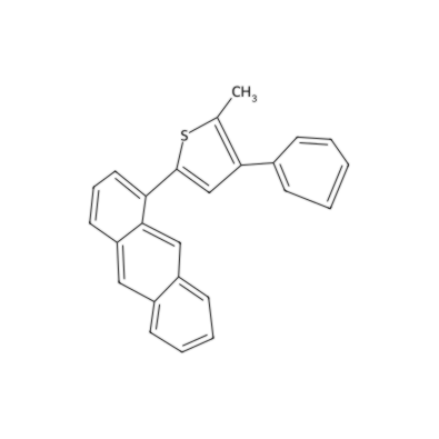 Cc1sc(-c2cccc3cc4ccccc4cc23)cc1-c1ccccc1